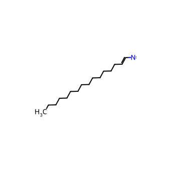 CCCCCCCCCCCCCCC=C[N]